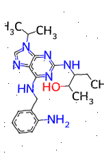 CCC(Nc1nc(NCc2ccccc2N)c2ncn(C(C)C)c2n1)C(C)O